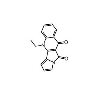 CCn1c2c(c(=O)c3ccccc31)C(=O)n1cccc1-2